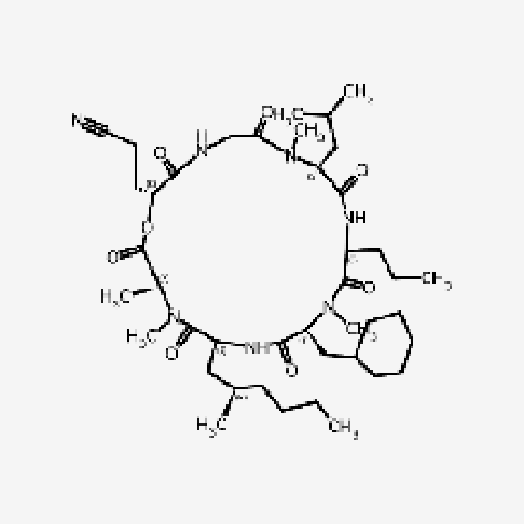 CCCC[C@@H](C)C[C@@H]1NC(=O)[C@H](CC2CCCCC2)N(C)C(=O)[C@H](CCC)NC(=O)[C@H](CC(C)C)N(C)C(=O)CNC(=O)[C@@H](CCC#N)OC(=O)[C@H](C)N(C)C1=O